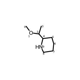 COC(C)C1CCCCN1